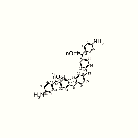 CCCCCCCCC(c1ccc(N)cc1)c1ccc(Cc2ccc(Cc3ccc(C(CCCCCCCC)c4ccc(N)cc4)cc3)cc2)cc1